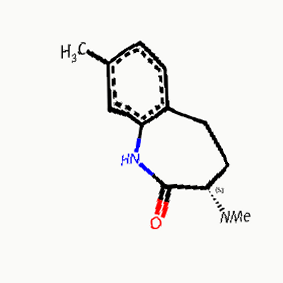 CN[C@H]1CCc2ccc(C)cc2NC1=O